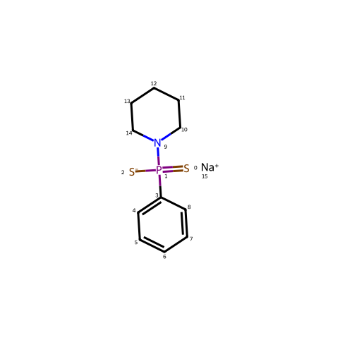 S=P([S-])(c1ccccc1)N1CCCCC1.[Na+]